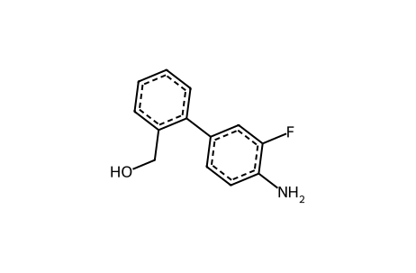 Nc1ccc(-c2ccccc2CO)cc1F